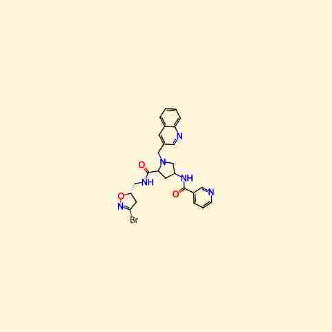 O=C(NC1CC(C(=O)NC[C@@H]2CC(Br)=NO2)N(Cc2cnc3ccccc3c2)C1)c1cccnc1